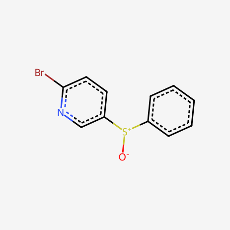 [O-][S+](c1ccccc1)c1ccc(Br)nc1